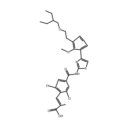 CCC(CC)COCCc1cccc(-c2csc(NC(=O)c3cc(Cl)c(C=C(C)C(=O)O)c(Cl)c3)n2)c1OC